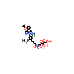 Cc1cc(CNC2(c3cnccc3-c3ccccc3OC3CC3)CC2)c(Cl)cc1CCCCC(=O)N(C)C[C@H](O)[C@@H](O)[C@H](O)[C@H](O)CO